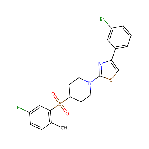 Cc1ccc(F)cc1S(=O)(=O)C1CCN(c2nc(-c3cccc(Br)c3)cs2)CC1